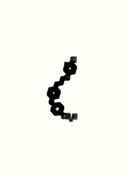 O=C(O)N1CCN(Cc2ccc(CCCOc3ccc(Cl)nc3)cc2)CC1